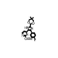 COc1nccc(-c2[nH]c(C3OCC(C)(C)CO3)nc2-c2ccc(F)cc2)n1